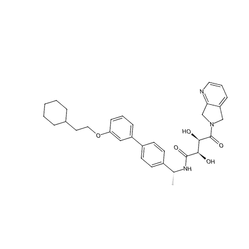 C[C@@H](NC(=O)[C@H](O)[C@@H](O)C(=O)N1Cc2cccnc2C1)c1ccc(-c2cccc(OCCC3CCCCC3)c2)cc1